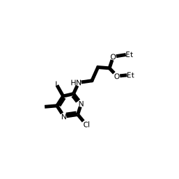 CCOC(CCNc1nc(Cl)nc(C)c1I)OCC